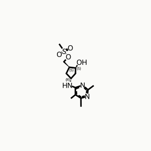 Cc1nc(C)c(C)c(N[C@@H]2C[C@@H](COS(C)(=O)=O)[C@@H](O)C2)n1